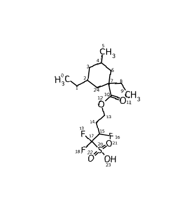 CCC1CC(C)CC(CC)(C(=O)OCCC(F)C(F)(F)S(=O)(=O)O)C1